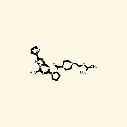 CC(C)OCCN1CCN(C(=O)[C@@H]2CCCN2c2nc(N)n3nc(-c4ccco4)nc3n2)CC1